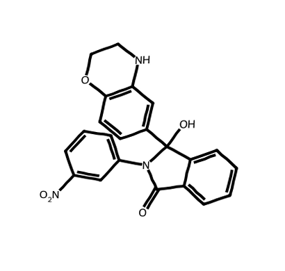 O=C1c2ccccc2C(O)(c2ccc3c(c2)NCCO3)N1c1cccc([N+](=O)[O-])c1